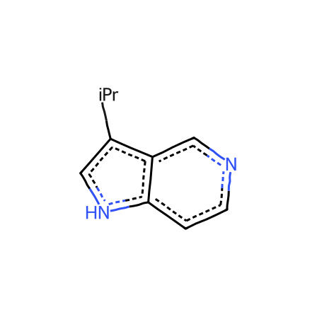 CC(C)c1c[nH]c2ccncc12